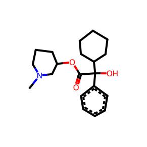 CN1CCCC(OC(=O)C(O)(c2ccccc2)C2CCCCC2)C1